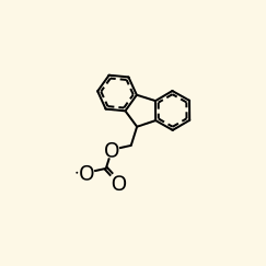 [O]C(=O)OCC1c2ccccc2-c2ccccc21